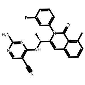 Cc1cccc2cc([C@H](C)Nc3nc(N)ncc3C#N)n(-c3cccc(F)c3)c(=O)c12